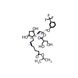 CC(C)OC(=O)CCC/C=C\C[C@@H]1[C@@H](/C=C/[C@H](COc2cccc(C(F)(F)F)c2)OC(=O)C(CO)CO)[C@H](O)C[C@@H]1O